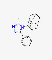 Cc1nnc(-c2ccccc2)n1C1C2CC3CC(C2)CC1C3